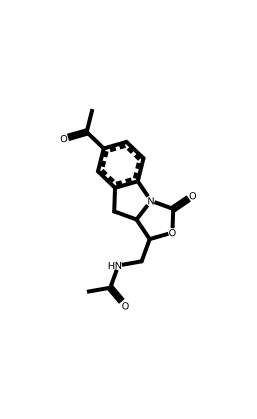 CC(=O)NCC1OC(=O)N2c3ccc(C(C)=O)cc3CC12